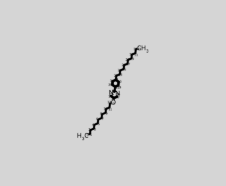 CCCCCCCCCCCCCOc1cnc(-c2ccc(CCCCCCCCCCCC)cc2)nc1